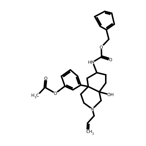 C=CCN1CCC2(c3cccc(OC(C)=O)c3)CC(NC(=O)OCc3ccccc3)CCC2(O)C1